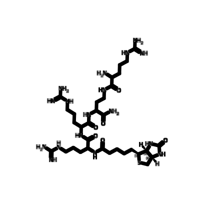 N=C(N)NCCCC(N)C(=O)NCCC(NC(=O)C(CCCNC(=N)N)NC(=O)C(CCCNC(=N)N)NC(=O)CCCC[C@@H]1SC[C@@H]2NC(=O)N[C@@H]21)C(N)=O